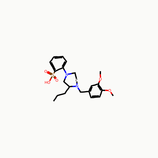 CCCC1CN(c2ccccc2S(=O)(=O)O)CCN1Cc1ccc(OC)c(OC)c1